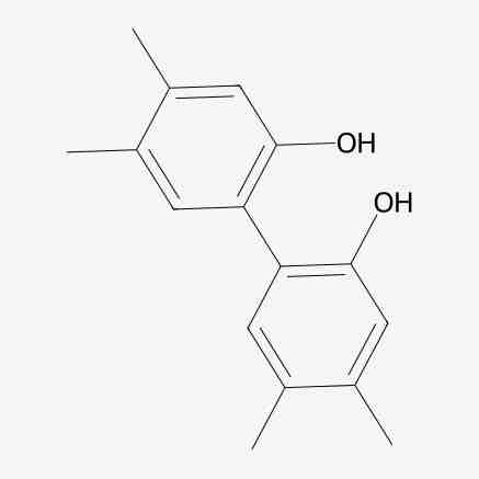 Cc1cc(O)c(-c2cc(C)c(C)cc2O)cc1C